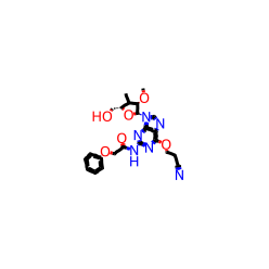 CO[C@H]1C(C)[C@@H](CO)O[C@H]1n1cnc2c(OCCC#N)nc(NC(=O)COc3ccccc3)nc21